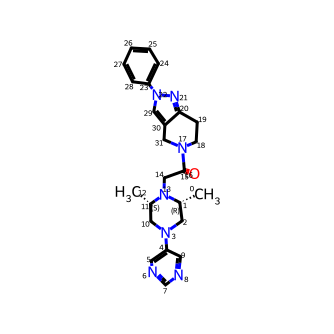 C[C@@H]1CN(c2cncnc2)C[C@H](C)N1CC(=O)N1CCc2nn(-c3ccccc3)cc2C1